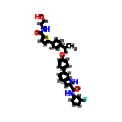 CC(COc1ccc(-c2ccc3cc(C(=O)Nc4cccc(F)c4)[nH]c3c2)cc1)c1ccc(-c2ccc(C(=O)NCCO)s2)cc1